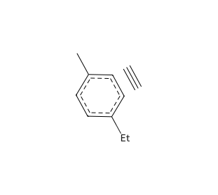 C#C.CCc1ccc(C)cc1